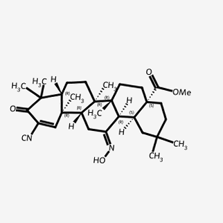 [C-]#[N+]C1=C[C@]2(C)[C@H]3CC(=NO)[C@@H]4[C@@H]5CC(C)(C)CC[C@]5(C(=O)OC)CC[C@@]4(C)[C@]3(C)CC[C@H]2C(C)(C)C1=O